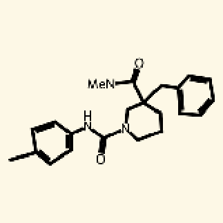 CNC(=O)C1(Cc2ccccc2)CCCN(C(=O)Nc2ccc(C)cc2)C1